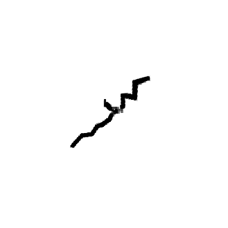 CCCCC[SiH](I)CCCCC